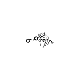 Cc1onc(-c2ccc(OCc3ccccc3)cc2)c1C(=O)c1cc(C(=O)OCC2CC2)n(C(N)=O)c1